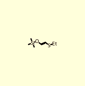 CCSC=CO[Si](C)(C)C